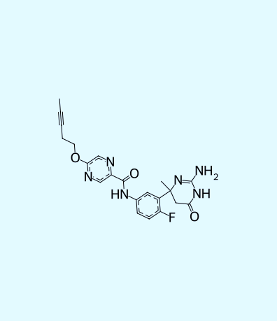 CC#CCCOc1cnc(C(=O)Nc2ccc(F)c(C3(C)CC(=O)NC(N)=N3)c2)cn1